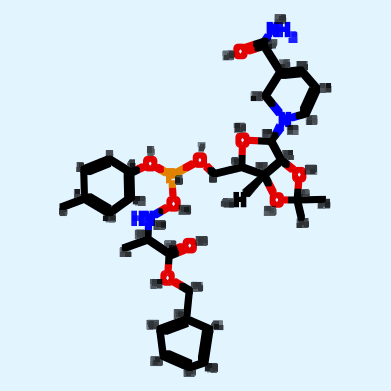 Cc1ccc(OP(OCC2O[C@@H](N3C=CC=C(C(N)=O)C3)C3OC(C)(C)O[C@H]23)ONC(C)C(=O)OCc2ccccc2)cc1